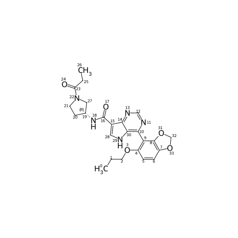 CCCOc1ccc2c(c1-c1ncnc3c(C(=O)N[C@@H]4CCN(C(=O)CC)C4)c[nH]c13)OCO2